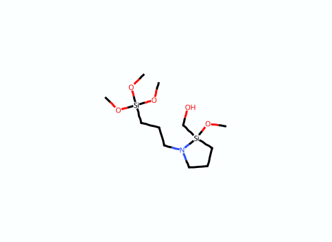 CO[Si](CCCN1CCC[Si]1(CO)OC)(OC)OC